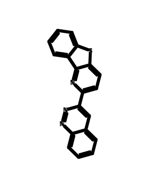 c1ccc2nnc(-c3ccc4sc5ccccc5c4n3)cc2c1